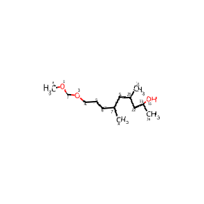 COCOCCCC(C)CC(C)CC(C)O